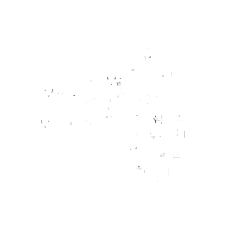 COc1cc2c(c(OC)c1OC)-c1ccc(O)c(=O)cc1[C@@H](NC(C)=O)CC2.O=C(O)C(O)C(O)C(=O)O